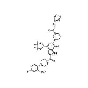 COc1cc(F)ccc1N1CCN(C(=O)c2cc3c(B4OC(C)(C)C(C)(C)O4)cc(C4=CCCN(C(=O)CCn5ccnn5)C4)c(F)c3[nH]2)CC1